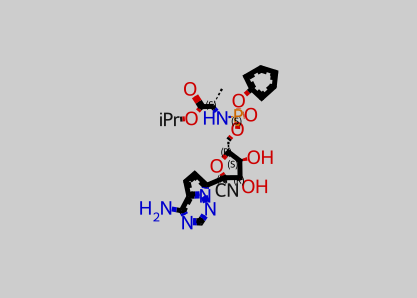 CC(C)OC(=O)[C@H](C)N[P@](=O)(OC[C@H]1O[C@@](C#N)(c2ccc3c(N)ncnn23)[C@H](O)[C@@H]1O)Oc1ccccc1